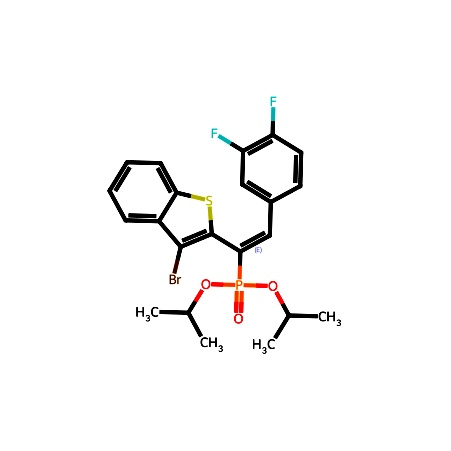 CC(C)OP(=O)(OC(C)C)/C(=C/c1ccc(F)c(F)c1)c1sc2ccccc2c1Br